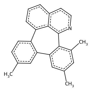 Cc1ccc2c(c1)-c1cc(C)cc(C)c1-c1nccc3cccc-2c13